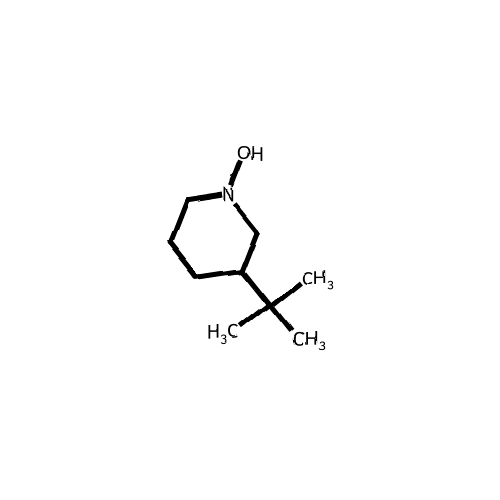 CC(C)(C)C1CCCN(O)C1